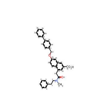 CN(CCc1ccccc1)C(=O)Cc1cc(C(=O)O)cc2cc(OCc3ccc(-c4ccccc4)cc3)ccc12